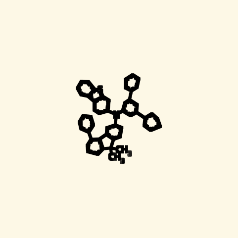 CC1(C)c2ccc(N(c3cc(-c4ccccc4)cc(-c4ccccc4)c3)c3ccc4c(c3)sc3ccccc34)cc2-c2c(-c3ccccc3)cccc21